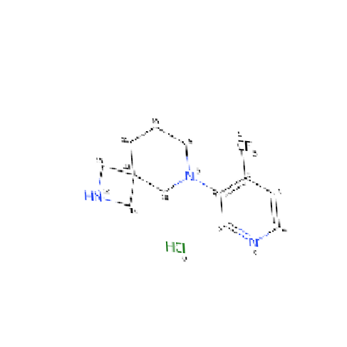 Cl.FC(F)(F)c1ccncc1N1CCCC2(CNC2)C1